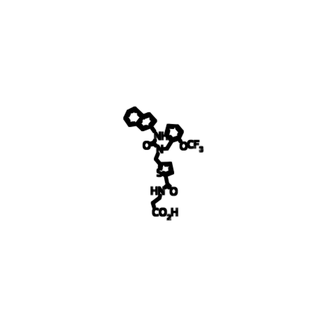 O=C(O)CCNC(=O)c1ccc(CN(Cc2ccccc2OC(F)(F)F)C(=O)Nc2ccc3ccccc3c2)s1